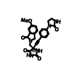 COc1ccc2c(c1)C(=O)N(C[C@@]1(C#Cc3ccc(N4CCNC4=O)cc3)NC(=O)NC1=O)C2